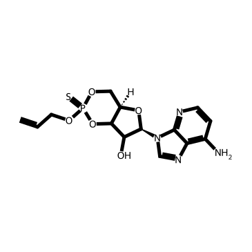 C=CCOP1(=S)OC[C@H]2O[C@@H](n3cnc4c(N)ccnc43)C(O)C2O1